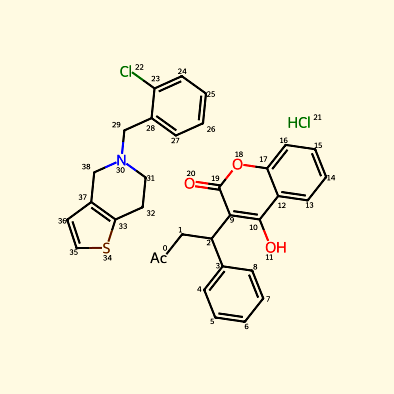 CC(=O)CC(c1ccccc1)c1c(O)c2ccccc2oc1=O.Cl.Clc1ccccc1CN1CCc2sccc2C1